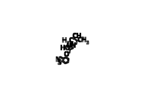 CC(C)C(C)CNCC(O)COc1cccc2sncc12